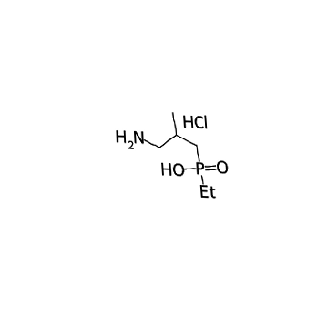 CCP(=O)(O)CC(C)CN.Cl